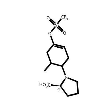 CC1CC(OS(=O)(=O)C(F)(F)F)=CCC1N1CCC[C@H]1C(=O)O